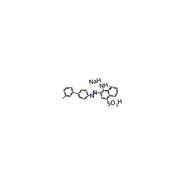 Cc1cccc(-c2ccc(/N=N/c3cc(S(=O)(=O)O)c4ccccc4c3N)cc2)c1.[NaH]